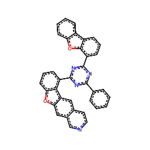 c1ccc(-c2nc(-c3cccc4c3oc3ccccc34)nc(-c3cccc4oc5cc6cnccc6cc5c34)n2)cc1